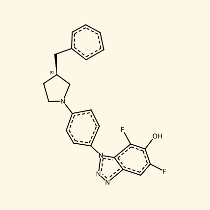 Oc1c(F)cc2nnn(-c3ccc(N4CC[C@@H](Cc5ccccc5)C4)cc3)c2c1F